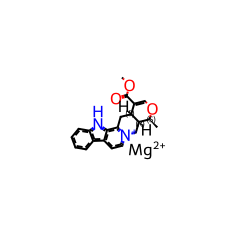 COC(=O)C1=CO[C@@H](C)[C@H]2C[n+]3ccc4c([nH]c5ccccc54)c3C[C@H]12.[Mg+2]